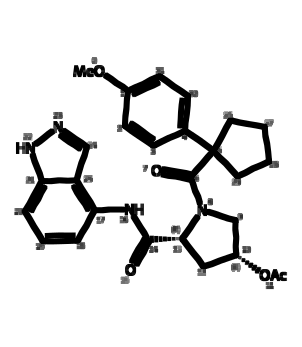 COc1ccc(C2(C(=O)N3C[C@H](OC(C)=O)C[C@@H]3C(=O)Nc3cccc4[nH]ncc34)CCCC2)cc1